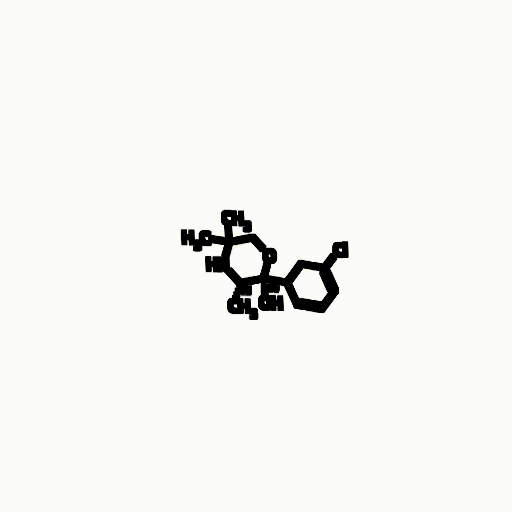 C[C@@H]1NC(C)(C)CO[C@@]1(O)C1C=CC=C(Cl)C1